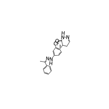 CC(=NNc1ccc(C2CC=NNC2=O)c(C(F)(F)F)c1)c1ccccc1